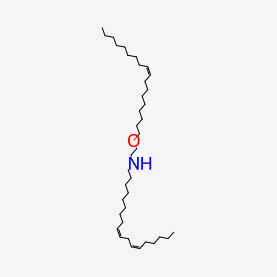 CCCCC/C=C\C/C=C\CCCCCCCCNCCOCCCCCCCC/C=C\CCCCCCCC